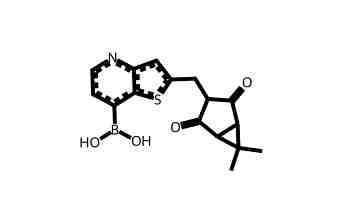 CC1(C)C2C(=O)C(Cc3cc4nccc(B(O)O)c4s3)C(=O)C21